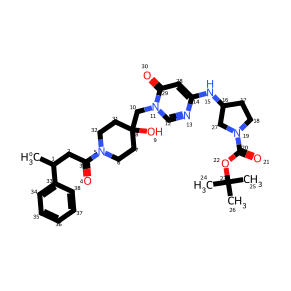 CC(CC(=O)N1CCC(O)(Cn2cnc(NC3CCN(C(=O)OC(C)(C)C)C3)cc2=O)CC1)c1ccccc1